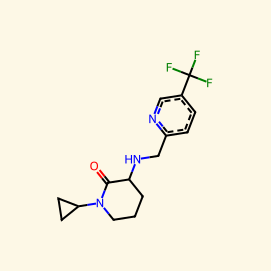 O=C1C(NCc2ccc(C(F)(F)F)cn2)CCCN1C1CC1